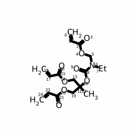 C=CC(=O)OCN(CC)C(=O)OC(C)(COC(=O)C=C)COC(=O)C=C